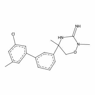 Cc1cc(Cl)cc(-c2cccc(C3(C)CON(C)C(=N)N3)c2)c1